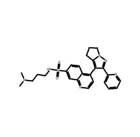 CN(C)CCCNS(=O)(=O)c1ccc2c(-c3c(-c4ccccn4)nn4c3CCC4)ccnc2c1